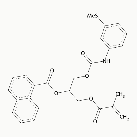 C=C(C)C(=O)OCC(COC(=O)Nc1cccc(SC)c1)OC(=O)c1cccc2ccccc12